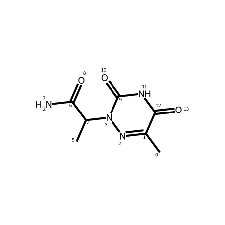 Cc1nn(C(C)C(N)=O)c(=O)[nH]c1=O